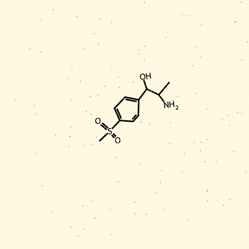 CC(N)C(O)c1ccc(S(C)(=O)=O)cc1